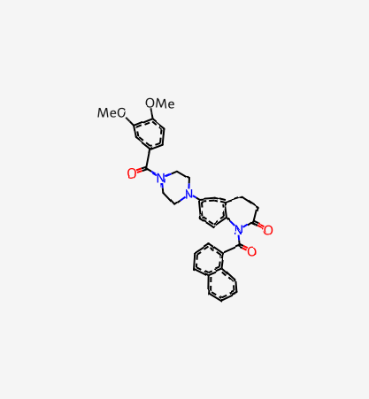 COc1ccc(C(=O)N2CCN(c3ccc4c(c3)CCC(=O)N4C(=O)c3cccc4ccccc34)CC2)cc1OC